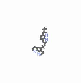 CC(C)(C)c1cnc2c(ccc3cc(CC(C)(C)c4cc5cccnc5c5ncccc45)cnc32)c1